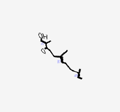 C/C=C(\C)CC/C=C(\C)CCC(=O)/C(C)=C/O